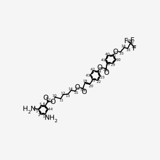 Nc1cc(N)cc(C(=O)OCCCCCCOC(=O)C=Cc2ccc(OC(=O)c3ccc(OCCCC(F)(F)F)cc3)cc2)c1